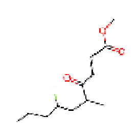 CCCC(F)CC(C)C(=O)CCC(=O)OC